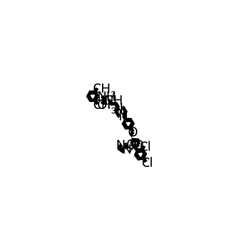 Cc1cccc(C)c1NC(=O)NCCN1CCN(c2ccc(OC[C@@H]3CO[C@@](Cn4ccnc4)(c4ccc(Cl)cc4Cl)O3)cc2)CC1